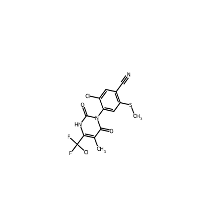 CSc1cc(-n2c(=O)[nH]c(C(F)(F)Cl)c(C)c2=O)c(Cl)cc1C#N